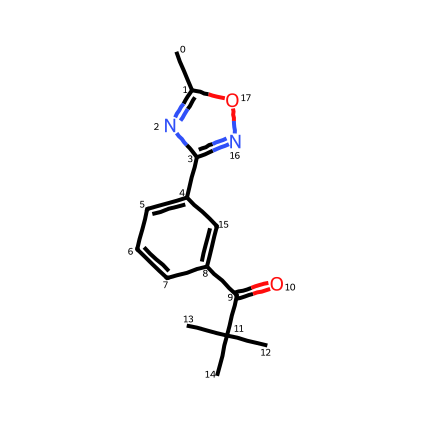 Cc1nc(-c2cccc(C(=O)C(C)(C)C)c2)no1